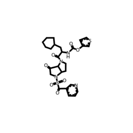 O=C(NC(CC1CCCCC1)C(=O)N1CCC2C1C(=O)CN2S(=O)(=O)C(=O)c1cccnc1)Oc1ccsc1